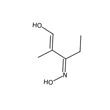 CCC(=N/O)/C(C)=C/O